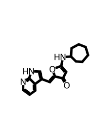 O=C1C=C(NC2CCCCCC2)OC1=Cc1c[nH]c2ncccc12